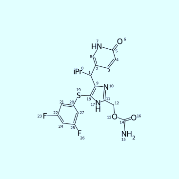 CC(C)C(c1ccc(=O)[nH]c1)c1nc(COC(N)=O)[nH]c1Sc1cc(F)cc(F)c1